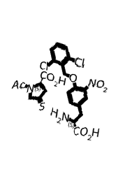 CC(=O)N1CC(=S)C[C@H]1C(=O)O.N[C@@H](Cc1ccc(OCc2c(Cl)cccc2Cl)c([N+](=O)[O-])c1)C(=O)O